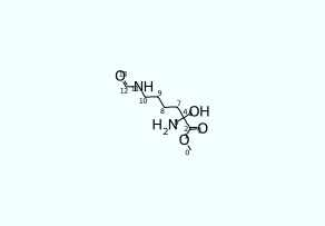 COC(=O)C(N)(O)CCCCNC=O